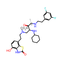 C[C@H](NCCc1cc(F)cc(F)c1)C(=O)C(CN(CCc1ccc(O)c2[nH]c(=O)sc12)C(=O)O)NC1CCCCC1